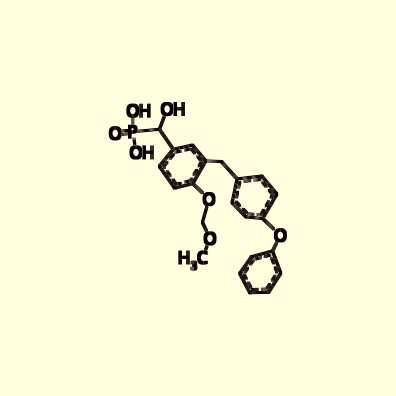 COCOc1ccc(C(O)P(=O)(O)O)cc1Cc1ccc(Oc2ccccc2)cc1